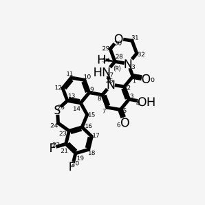 O=C1c2c(O)c(=O)cc(-c3cccc4c3Cc3ccc(F)c(F)c3CS4)n2N[C@@H]2COCCN12